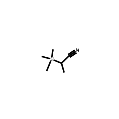 CC(C#N)[Si](C)(C)C